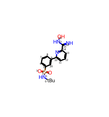 CC(C)(C)NS(=O)(=O)c1cccc(-c2cccc(C(=N)NO)n2)c1